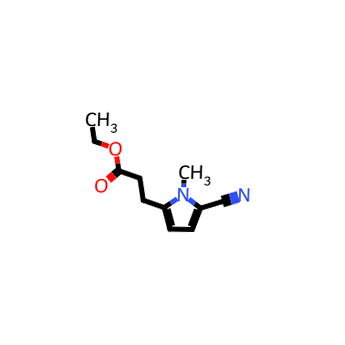 CCOC(=O)CCc1ccc(C#N)n1C